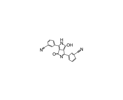 N#Cc1cccc(C2=NC(=O)c3c(-c4cccc(C#N)c4)[nH]c(O)c32)c1